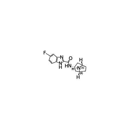 CN1[C@@H]2CC[C@H]1C[C@@H](NC(=O)c1nc3cc(F)ccc3[nH]1)C2